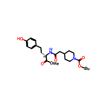 COC(=O)[C@H](CCc1ccc(O)cc1)NC(=O)CC1CCN(C(=O)OC(C)(C)C)CC1